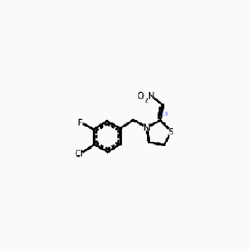 O=[N+]([O-])/C=C1/SCCN1Cc1ccc(Cl)c(F)c1